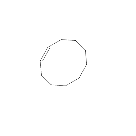 [CH]1C/C=C\CCCCCC1